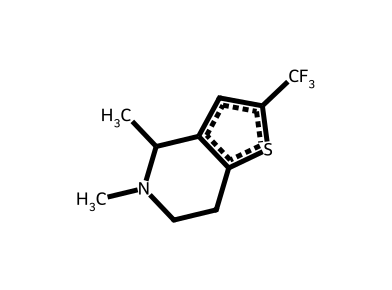 CC1c2cc(C(F)(F)F)sc2CCN1C